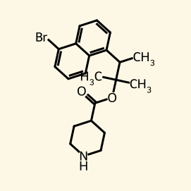 CC(c1cccc2c(Br)cccc12)C(C)(C)OC(=O)C1CCNCC1